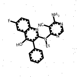 CCN(c1ncnc(N)c1C#N)c1nc2ccc(F)cc2c(O)c1-c1ccccc1